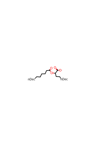 CCCCCCCCCCCCCCCC(=O)OC(CCCCCCCCCCCC)C([O])=O